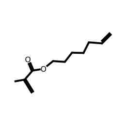 C=CCCCCCOC(=O)C(=C)C